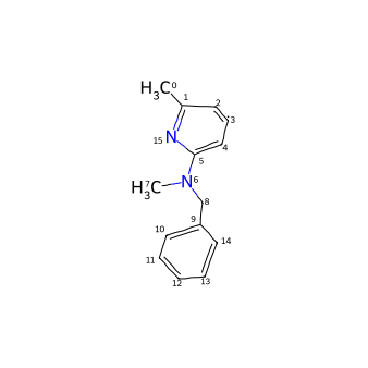 Cc1c[c]cc(N(C)Cc2ccccc2)n1